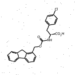 O=C(N[C@@H](Cc1ccc(Cl)cc1)C(=O)O)OCc1cccc2c1Cc1ccccc1-2